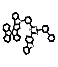 C1=CCC(c2cccc(-c3nc(-c4cccc(-n5c6ccccc6c6cc7c(cc65)-c5ccccc5C75c6ccccc6-c6ccccc65)c4)nc(-c4ccc5c(c4)oc4ccccc45)n3)c2)C=C1